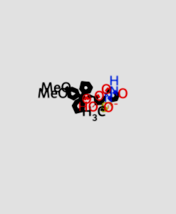 COC1(OC)C=CC(C(OC[C@H]2O[C@@H](n3ccc(=O)[nH]c3=O)[C@H]([S+](C)[O-])[C@@H]2O)(c2ccccc2)c2ccccc2)=CC1